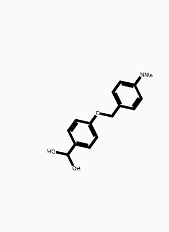 CNc1ccc(COc2ccc(C(O)O)cc2)cc1